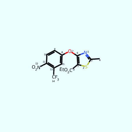 CCOC(=O)c1sc(C)nc1Oc1ccc([N+](=O)[O-])c(C(F)(F)F)c1